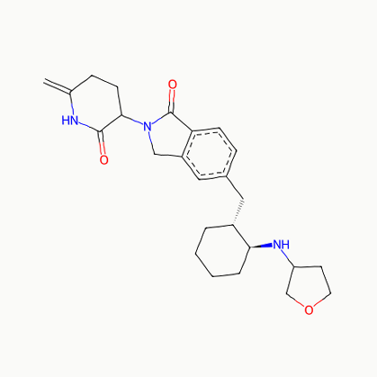 C=C1CCC(N2Cc3cc(C[C@H]4CCCC[C@@H]4NC4CCOC4)ccc3C2=O)C(=O)N1